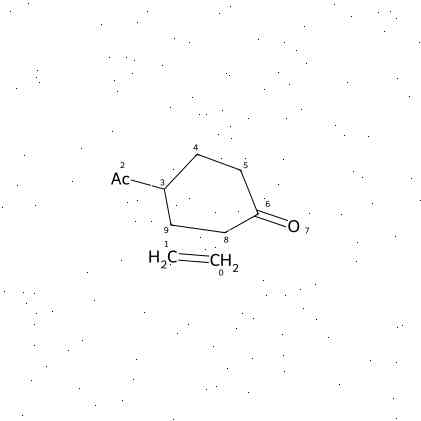 C=C.CC(=O)C1CCC(=O)CC1